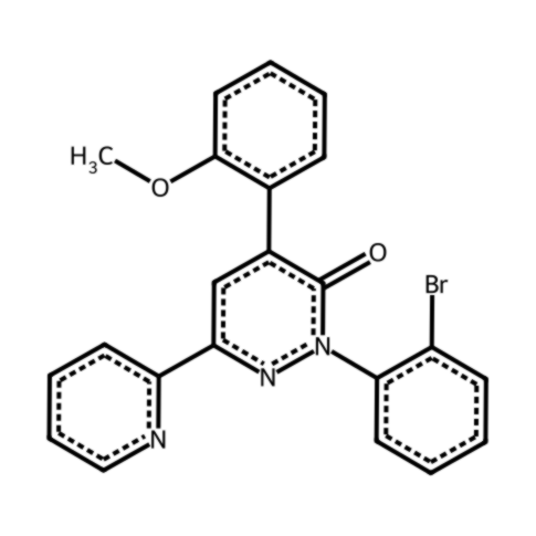 COc1ccccc1-c1cc(-c2ccccn2)nn(-c2ccccc2Br)c1=O